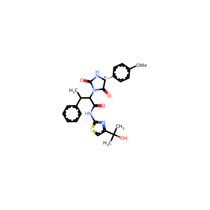 COc1ccc([C@H]2NC(=O)N(C(C(=O)Nc3nc(C(C)(C)O)cs3)C(C)c3ccccc3)C2=O)cc1